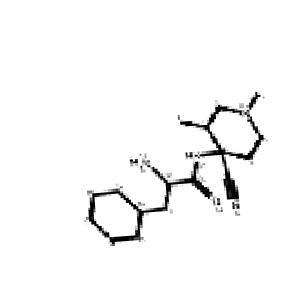 CC1CN(C)CCC1(C#N)NC(=O)C(N)CC1CCCCC1